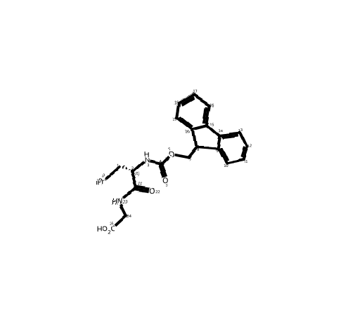 CC(C)C[C@H](NC(=O)OCC1c2ccccc2-c2ccccc21)C(=O)NCC(=O)O